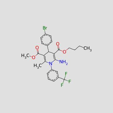 CCCCOC(=O)C1=C(N)N(c2cccc(C(F)(F)F)c2)C(C)=C(C(=O)OC)C1c1ccc(Br)cc1